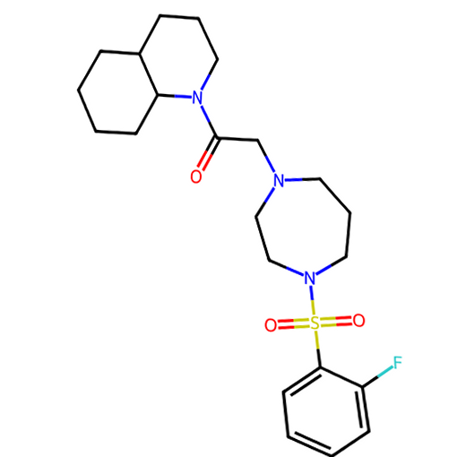 O=C(CN1CCCN(S(=O)(=O)c2ccccc2F)CC1)N1CCCC2CCCCC21